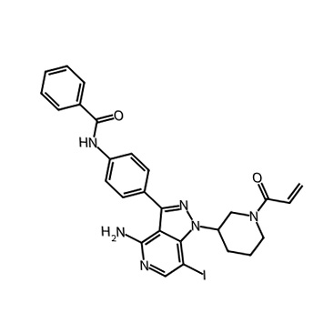 C=CC(=O)N1CCCC(n2nc(-c3ccc(NC(=O)c4ccccc4)cc3)c3c(N)ncc(I)c32)C1